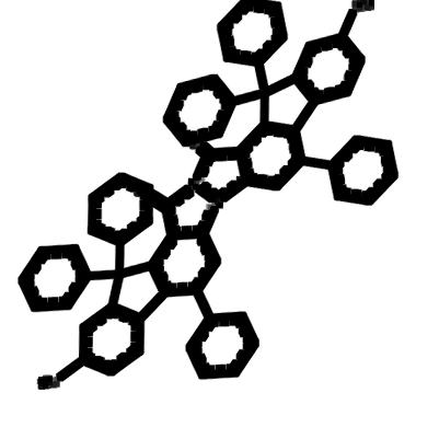 CC(C)(C)c1ccc2c(c1)C(c1ccccc1)(c1ccccc1)c1c-2c(-c2ccccc2)cc2c1c(=O)n1c(=O)c3c4c(c(-c5ccccc5)cc3n21)-c1ccc(C(C)(C)C)cc1C4(c1ccccc1)c1ccccc1